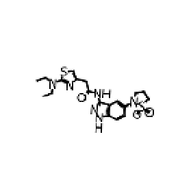 CCN(CC)c1nc(CC(=O)Nc2n[nH]c3ccc(N4CCCS4(=O)=O)cc23)cs1